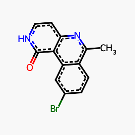 Cc1nc2cc[nH]c(=O)c2c2cc(Br)ccc12